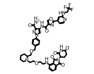 NC(=O)c1nn(-c2ccc(COCC3CCCCN3CCOCCNc3cccc4c3C(=O)N(C3CCC(=O)NC3=O)C4=O)cc2)cc1NC(=O)c1coc(-c2ccnc(NCC(F)(F)F)c2)n1